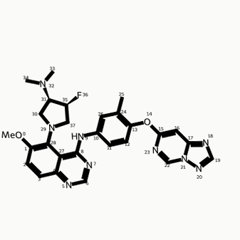 COc1ccc2ncnc(Nc3ccc(Oc4cc5ncnn5cn4)c(C)c3)c2c1N1C[C@@H](N(C)C)[C@@H](F)C1